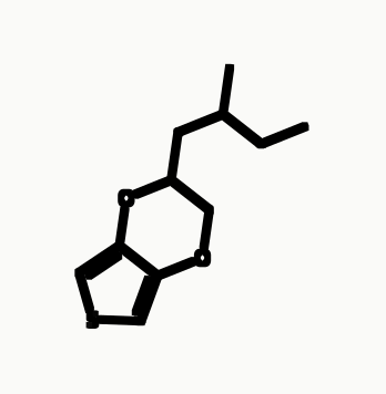 CCC(C)CC1COc2cscc2O1